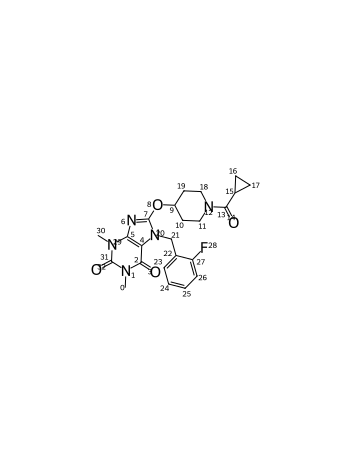 Cn1c(=O)c2c(nc(OC3CCN(C(=O)C4CC4)CC3)n2Cc2ccccc2F)n(C)c1=O